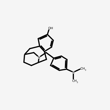 CN(C)c1ccc(CN2CC3CCC2Cc2ccc(O)cc2C3)cc1